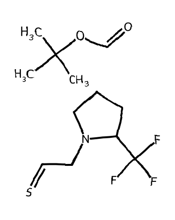 CC(C)(C)OC=O.FC(F)(F)C1CCCN1CC=S